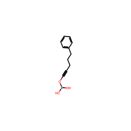 OB(O)OC#CCCCc1ccccc1